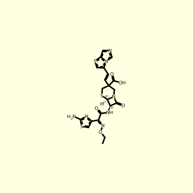 CCON=C(C(=O)N[C@@H]1C(=O)N2CC(C=Cc3csc4cncn34)(C(=O)O)CS[C@H]12)c1csc(N)n1